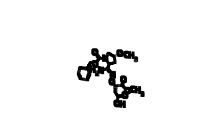 COC(=O)C(=CC(=O)O)O/N=C(\N)[C@@H]1C[C@@H](OC)CN1C(=O)OCc1ccccc1